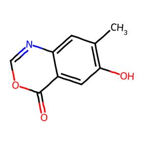 Cc1cc2ncoc(=O)c2cc1O